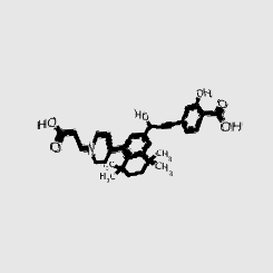 CC1(C)CCC(C)(C)c2c(C3=CCN(CCC(=O)O)CC3)cc(C(O)C#Cc3ccc(C(=O)O)c(O)c3)cc21